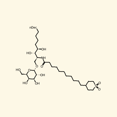 CCCCCCCCCCCCCC[C@@H](O)[C@@H](O)[C@H](CO[C@H]1O[C@H](CO)[C@H](O)[C@H](O)[C@H]1O)NC(=O)CCCCCCCCCCC1CCS(=O)(=O)CC1